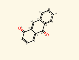 O=C1C=CC=C2C(=O)c3ccccc3C=C12